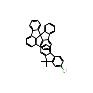 CC1(C)c2cc(Cl)ccc2-c2ccc(-c3cccc4c3C3(c5ccccc5-c5ccccc53)c3ccccc3-4)cc21